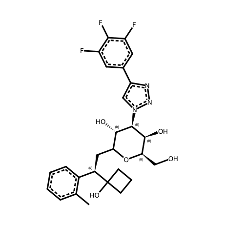 Cc1ccccc1[C@@H](CC1O[C@H](CO)[C@H](O)[C@H](n2cc(-c3cc(F)c(F)c(F)c3)nn2)[C@H]1O)C1(O)CCC1